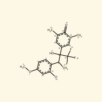 COc1ccc(C(C)C(O)(c2cc(C)c(=O)n(C)c2)C(F)(F)F)c(Cl)c1